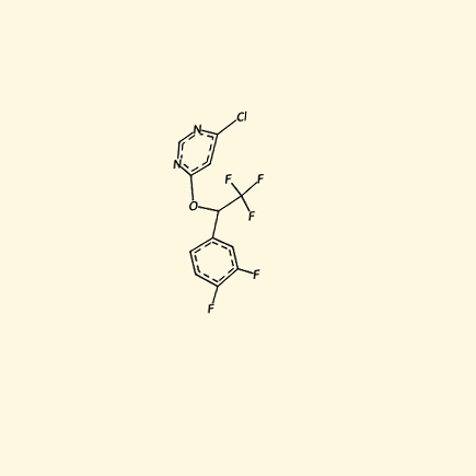 Fc1ccc(C(Oc2cc(Cl)ncn2)C(F)(F)F)cc1F